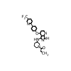 C=CC(=O)N1CCC[C@@H](Nc2n[nH]c3nccc(Oc4ccc(-c5ccc(C(F)(F)F)cn5)cc4)c23)C1